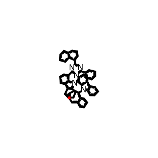 C1#CCC(n2c3ccccc3c3cccc(-n4c5c(c6cccc(-c7nc(-c8ccccc8)nc(-c8cccc9ccccc89)n7)c64)C=CCC5)c32)=c2ccccc2=C1